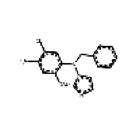 COc1cc(N)c(Cl)cc1N(Cc1ccccc1)n1ccnc1